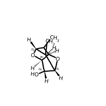 CC1[C@H]2O[C@@H]3[C@@H](O)[C@@H](O[C@H]13)[C@@H]2C